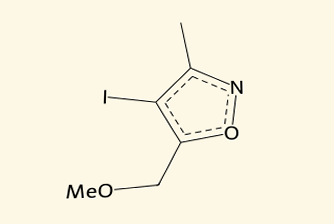 COCc1onc(C)c1I